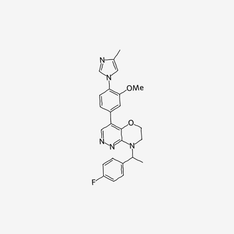 COc1cc(-c2cnnc3c2OCCN3C(C)c2ccc(F)cc2)ccc1-n1cnc(C)c1